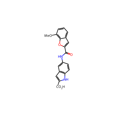 COc1cccc2cc(C(=O)Nc3ccc4[nH]c(C(=O)O)cc4c3)oc12